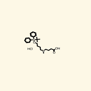 CN(CCCCO[Si](c1ccccc1)(c1ccccc1)C(C)(C)C)CCCC(=O)O.Cl